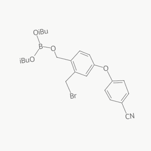 CC(C)COB(OCc1ccc(Oc2ccc(C#N)cc2)cc1CBr)OCC(C)C